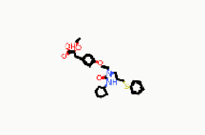 CCOC(Cc1ccc(OCCN(CCCSc2ccccc2)C(=O)NC2CCCCC2)cc1)C(=O)O